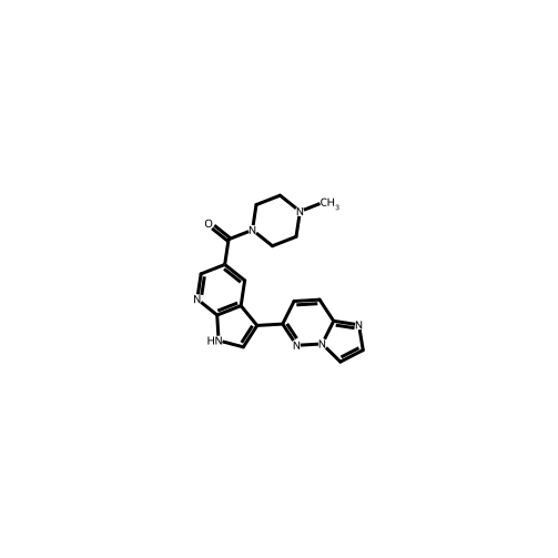 CN1CCN(C(=O)c2cnc3[nH]cc(-c4ccc5nccn5n4)c3c2)CC1